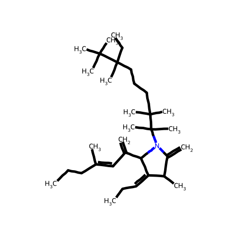 C=C(/C=C(\C)CCC)C1/C(=C\CC)C(C)C(=C)N1C(C)(C)C(C)(C)CCCC(C)(CC)C(C)(C)C